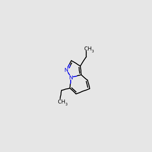 CCc1cnn2c(CC)cccc12